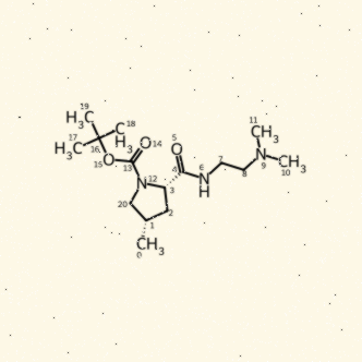 C[C@H]1C[C@@H](C(=O)NCCN(C)C)N(C(=O)OC(C)(C)C)C1